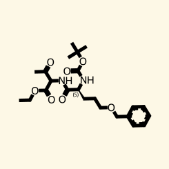 CCOC(=O)C(NC(=O)[C@H](CCCOCc1ccccc1)NC(=O)OC(C)(C)C)C(C)=O